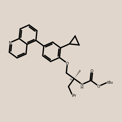 CC(C)C[C@@](C)(COc1ccc(-c2cccc3ncccc23)cc1C1CC1)NC(=O)OC(C)(C)C